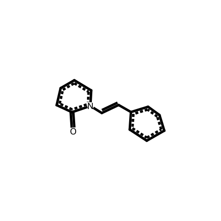 O=c1ccccn1C=Cc1ccccc1